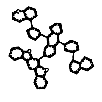 c1cc(-c2cccc3ccccc23)cc(-c2c3ccccc3c(-c3cccc(-c4cccc5ccccc45)c3)c3cc(-c4c5oc6ccccc6c5cc5c4oc4ccccc45)ccc23)c1